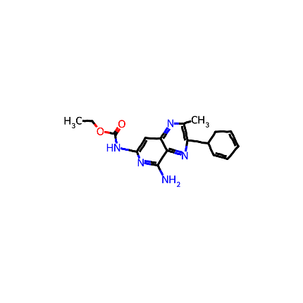 CCOC(=O)Nc1cc2nc(C)c(C3C=CC=CC3)nc2c(N)n1